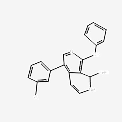 O=CC1NC=Cc2c(-c3cccc(Cl)c3)cnc(Nc3ccccc3)c21